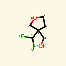 OCC1(C(F)F)CCOC1